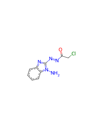 Nn1c(N=NC(=O)CCl)nc2ccccc21